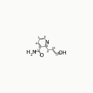 NC(=O)c1cccnc1CC=CO